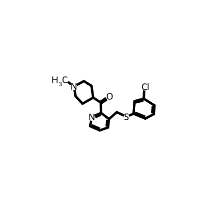 CN1CCC(C(=O)c2ncccc2CSc2cccc(Cl)c2)CC1